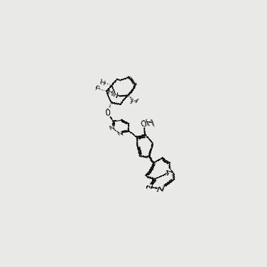 Oc1cc(-c2ccn3cnnc3c2)ccc1-c1ccc(O[C@H]2C[C@@H]3CCC[C@@H](N3)[C@H]2F)nn1